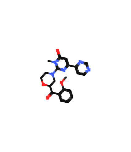 COc1ccccc1C(=O)C1CN(c2nc(-c3ccncn3)cc(=O)n2C)CCO1